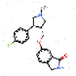 CCCN1CC(c2ccc(F)cc2)[C@@H](COc2ccc3c(c2)C(=O)NC3)C1